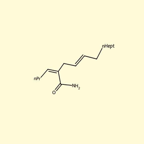 CCCC=C(CC=CCCCCCCCC)C(N)=O